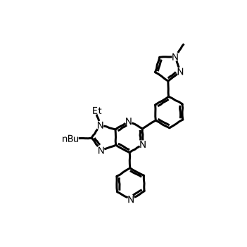 CCCCc1nc2c(-c3ccncc3)nc(-c3cccc(-c4ccn(C)n4)c3)nc2n1CC